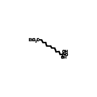 CCOC(=O)CCCCCCCCCCP(=O)(O)O